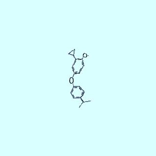 CC(C)c1ccc(Oc2ccc([O])c(C3CC3)c2)cc1